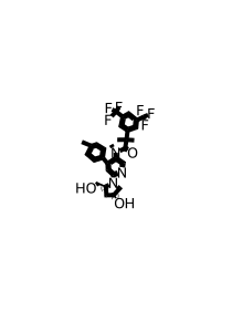 Cc1ccc(-c2cc(N3C[C@H](O)C[C@H]3CO)ncc2N(C)C(=O)C(C)(C)c2cc(C(F)(F)F)cc(C(F)(F)F)c2)cc1